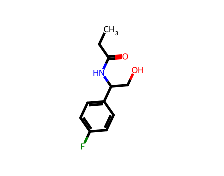 CCC(=O)NC(CO)c1ccc(F)cc1